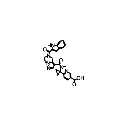 CN(C(=O)c1cnn2c1CN(C(=O)c1cc3ccccc3[nH]1)CC2)C1(c2ccc(C(=O)O)cn2)CC1